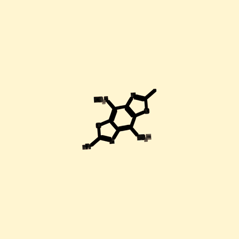 CCCc1nc2c(S(=O)(=O)O)c3oc(C)nc3c(S(=O)(=O)O)c2o1